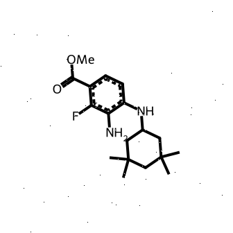 COC(=O)c1ccc(NC2CC(C)(C)CC(C)(C)C2)c(N)c1F